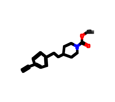 C#Cc1ccc(CCC2CCN(C(=O)OC(C)(C)C)CC2)cc1